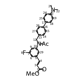 COC(=O)/C=C/c1cc(F)cc(N(Cc2ccc(-c3ccc(N(C)C)cc3)cc2)C(C)=O)c1